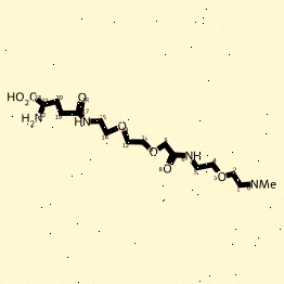 CNCCOCCNC(=O)COCCOCCNC(=O)CCC(N)C(=O)O